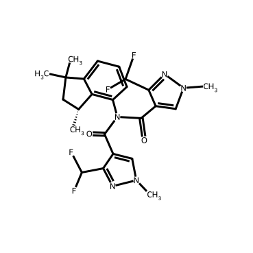 C[C@@H]1CC(C)(C)c2cccc(N(C(=O)c3cn(C)nc3C(F)F)C(=O)c3cn(C)nc3C(F)F)c21